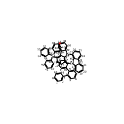 c1ccc(-c2ccccc2-c2ccccc2-n2c3ccccc3c3cccc(-n4c5ccccc5c5c([Si](c6ccccc6)(c6ccccc6)c6ccccc6)cccc54)c32)cc1